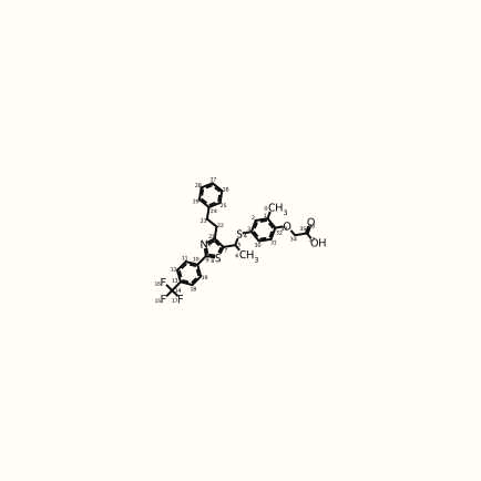 Cc1cc(SC(C)c2sc(-c3ccc(C(F)(F)F)cc3)nc2CCc2ccccc2)ccc1OCC(=O)O